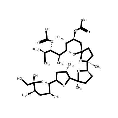 CCCCC(=O)O[C@H]1C[C@]2(CC[C@@](C)([C@H]3CC[C@@](C)(C4O[C@@H]([C@H]5O[C@@](O)(CO)[C@H](C)C[C@@H]5C)C[C@@H]4C)O3)O2)O[C@H]([C@@H](C)[C@@H](OC(=O)CC)[C@@H](C)C(=O)O)[C@@H]1C